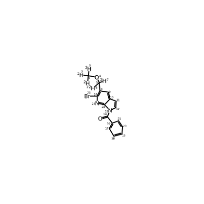 [2H]C([2H])([2H])OC([2H])([2H])c1cc2ccn(C(=O)c3ccccc3)c2nc1Br